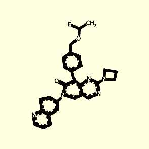 CC(F)OCc1ccc(-c2c(=O)n(-c3ccc4ncccc4c3)cc3cnc(N4CCC4)nc23)cc1